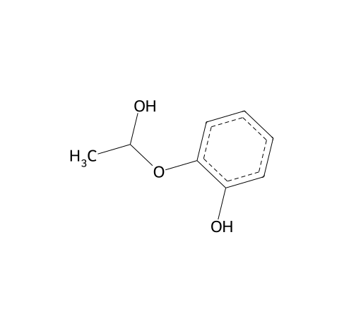 CC(O)Oc1ccccc1O